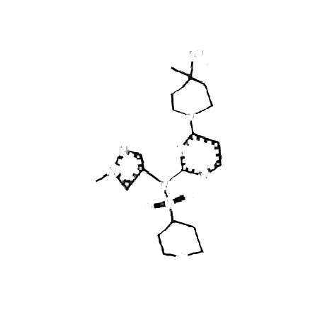 Cn1cc(N(c2nccc(N3CCC(C)(N)CC3)n2)S(=O)(=O)C2CCOCC2)cn1